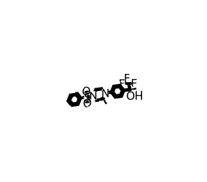 C[C@H]1CN(S(=O)(=O)c2ccccc2)CCN1c1ccc([C@@](C)(O)C(F)(F)F)cc1